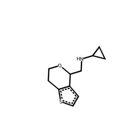 c1cc2c(s1)CCOC2CNC1CC1